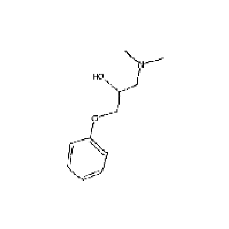 CN(C)CC(O)COc1ccccc1